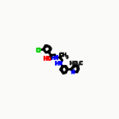 C[C@H](CNc1cccc(-c2ncccc2C(=O)O)c1)NC[C@H](O)c1cccc(Cl)c1